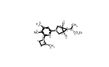 CCOC(=O)[C@@H](C)[C@H]1[C@@H]2CN(c3cc(C(F)(F)F)c(C#N)c(N4CC[C@@H]4C)n3)C[C@@H]21